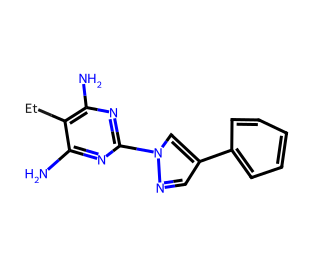 CCc1c(N)nc(-n2cc(-c3ccccc3)cn2)nc1N